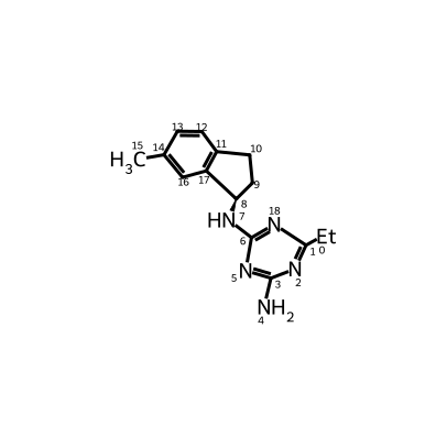 CCc1nc(N)nc(N[C@@H]2CCc3ccc(C)cc32)n1